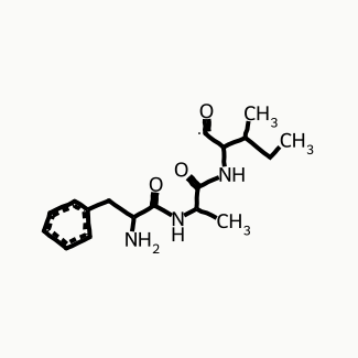 CCC(C)C([C]=O)NC(=O)C(C)NC(=O)C(N)Cc1ccccc1